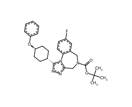 CC(C)(C)OC(=O)N1Cc2cc(F)ccc2-n2c(nnc2[C@H]2CC[C@H](Oc3ccccc3)CC2)C1